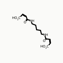 O=C(O)/C=C\C(=O)NCCCCCNC(=O)/C=C\C(=O)O